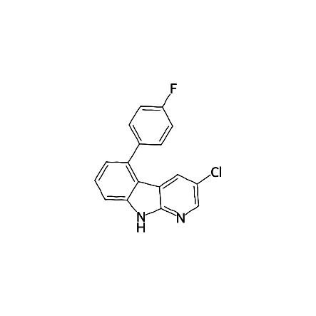 Fc1ccc(-c2cccc3[nH]c4ncc(Cl)cc4c23)cc1